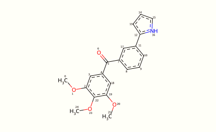 COc1cc(C(=O)c2cccc(-c3ccc[nH]3)c2)cc(OC)c1OC